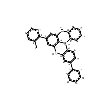 Cc1cccnc1-c1cc2c3c(c1)Oc1cc(-c4ccccc4)ccc1B3c1ccccc1O2